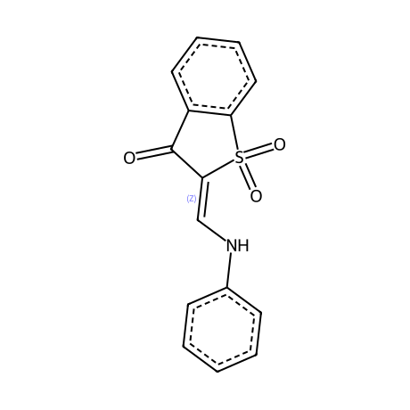 O=C1/C(=C/Nc2ccccc2)S(=O)(=O)c2ccccc21